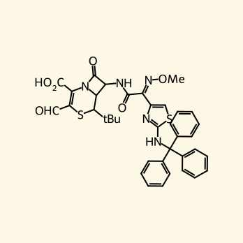 CON=C(C(=O)NC1C(=O)N2C(C(=O)O)=C(C=O)SC(C(C)(C)C)C12)c1csc(NC(c2ccccc2)(c2ccccc2)c2ccccc2)n1